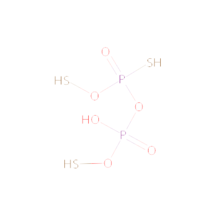 O=P(O)(OS)OP(=O)(S)OS